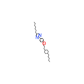 CCCCCCCc1cnc(-c2ccc(OCCCC3CCC(CCCCC)CC3)cc2)nc1